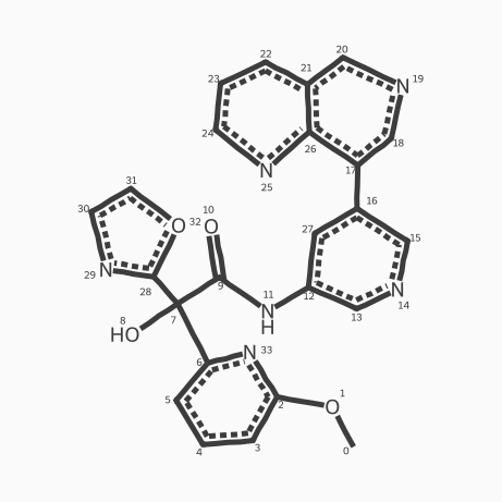 COc1cccc(C(O)(C(=O)Nc2cncc(-c3cncc4cccnc34)c2)c2ncco2)n1